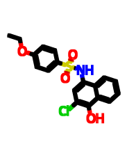 CCOc1ccc(S(=O)(=O)Nc2cc(Cl)c(O)c3ccccc23)cc1